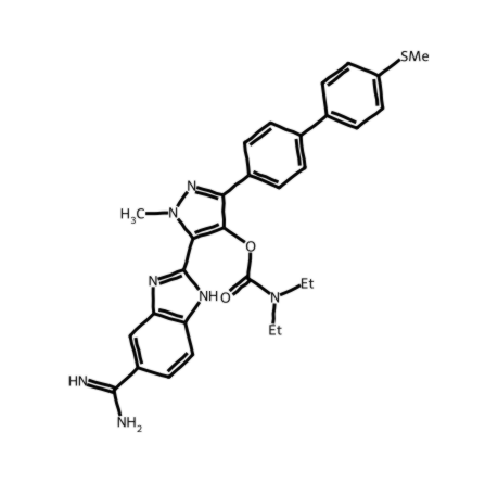 CCN(CC)C(=O)Oc1c(-c2ccc(-c3ccc(SC)cc3)cc2)nn(C)c1-c1nc2cc(C(=N)N)ccc2[nH]1